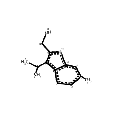 Cc1ccc2c(C(C)C)c(CO)sc2c1